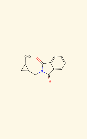 O=CC1CC1CN1C(=O)c2ccccc2C1=O